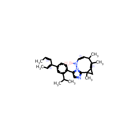 BN1/C=C\C(C)/C(C)=C2/CC2(C)c2ncc(-c3ccc(C(/C=C\C)=C/C)cc3C(C)C)n21